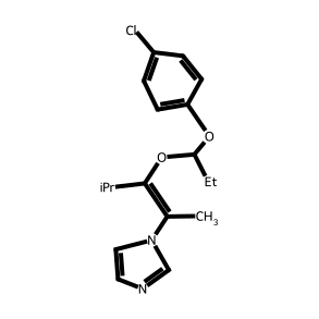 CCC(OC(=C(C)n1ccnc1)C(C)C)Oc1ccc(Cl)cc1